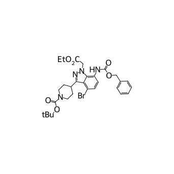 CCOC(=O)Cn1nc(C2CCN(C(=O)OC(C)(C)C)CC2)c2c(Br)ccc(NC(=O)OCc3ccccc3)c21